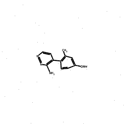 COc1ccc(-c2ccnnc2N)c(C)c1